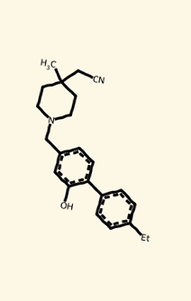 CCc1ccc(-c2ccc(CN3CCC(C)(CC#N)CC3)cc2O)cc1